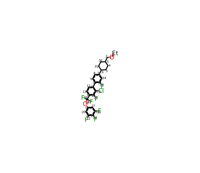 CCOCC1CCC(c2ccc(-c3ccc(C(F)(F)Oc4cc(F)c(F)c(F)c4)c(F)c3Cl)c(F)c2)CC1